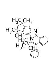 CC(C)(C)c1c(-c2ccccc2)c2ccccc2c2nc3cc4c(cc3n12)C(C)(C)CC4(C)C